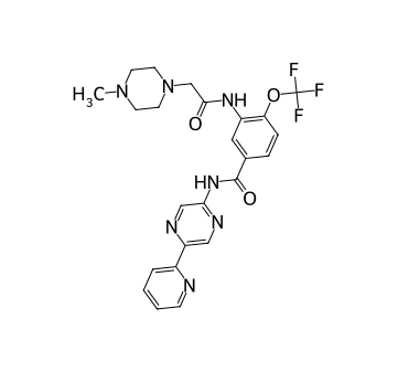 CN1CCN(CC(=O)Nc2cc(C(=O)Nc3cnc(-c4ccccn4)cn3)ccc2OC(F)(F)F)CC1